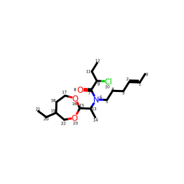 C/C=C/CCCN(C(=O)C(Cl)CC)C(C)C1OCCC(CC)CO1